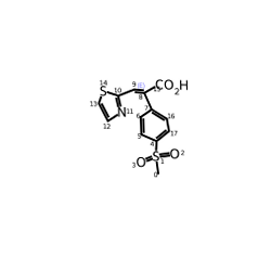 CS(=O)(=O)c1ccc(/C(=C\c2nccs2)C(=O)O)cc1